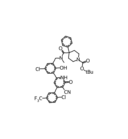 CN(Cc1cc(Cl)cc(-c2cc(-c3cc(C(F)(F)F)ccc3Cl)c(C#N)c(=O)[nH]2)c1O)C(=O)C1(c2ccccc2)CCN(C(=O)OC(C)(C)C)CC1